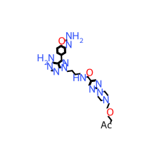 CC(=O)CCOCCN1CCN(c2ncc(C(=O)NCCCCn3nc(-c4ccc5oc(N)nc5c4)c4c(N)ncnc43)cn2)CC1